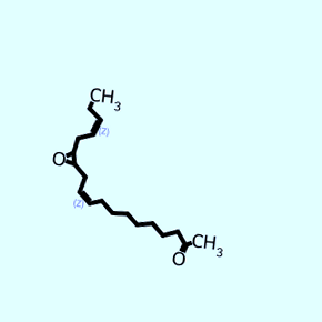 CC/C=C\CC1OC1C/C=C\CCCCCCCC(C)=O